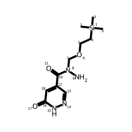 C[Si](C)(C)CCOCN(N)C(=O)c1cn[nH]c(=O)c1